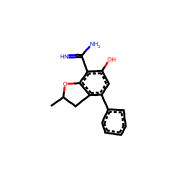 CC1Cc2c(-c3ccccc3)cc(O)c(C(=N)N)c2O1